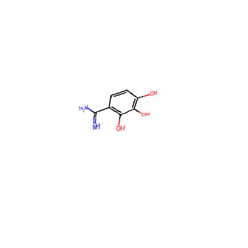 N=C(N)c1ccc(O)c(O)c1O